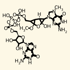 CO[C@]12O[C@@]3(O)C(N4CN(C)c5c4nc(N)[nH]c5=O)[C@@H]3C1C2COP(=O)(O)OP(=O)(O)OP(=O)(O)OC[C@H]1O[C@@H](n2cnc3c(=O)[nH]c(N)nc32)C(O)C1O